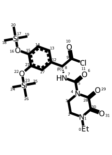 CCN1CCN(C(=O)N[C@@H](C(=O)Cl)c2ccc(O[Si](C)(C)C)c(O[Si](C)(C)C)c2)C(=O)C1=O